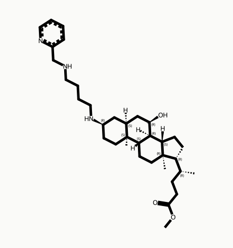 COC(=O)CC[C@@H](C)[C@H]1CC[C@H]2[C@@H]3[C@H](O)C[C@@H]4C[C@H](NCCCCNCc5ccccn5)CC[C@]4(C)[C@H]3CC[C@]12C